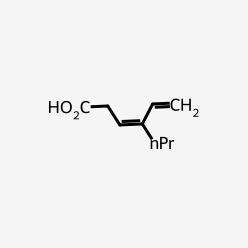 C=CC(=CCC(=O)O)CCC